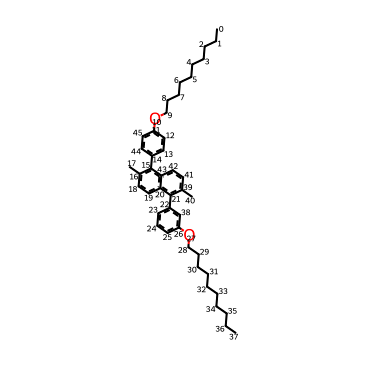 CCCCCCCCCCOc1ccc(-c2c(C)ccc3c(-c4cccc(OCCCCCCCCCC)c4)c(C)ccc23)cc1